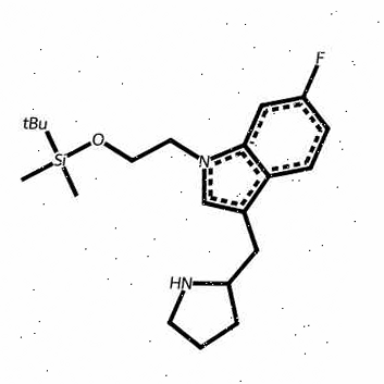 CC(C)(C)[Si](C)(C)OCCn1cc(CC2CCCN2)c2ccc(F)cc21